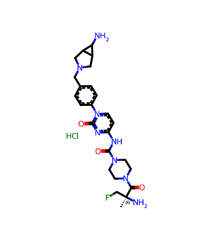 C[C@](N)(CF)C(=O)N1CCN(C(=O)Nc2ccn(-c3ccc(CN4CC5C(N)C5C4)cc3)c(=O)n2)CC1.Cl